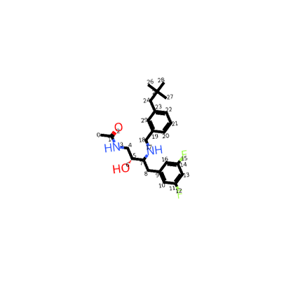 CC(=O)NC[C@@H](O)C(Cc1cc(F)cc(F)c1)NCc1cccc(CC(C)(C)C)c1